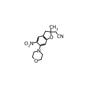 CC1(CC#N)Cc2cc([N+](=O)[O-])c(N3CCOCC3)cc2O1